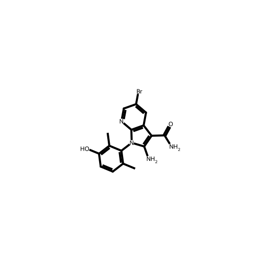 Cc1ccc(O)c(C)c1-n1c(N)c(C(N)=O)c2cc(Br)cnc21